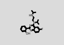 CC(C)NCCN(c1nc(-c2ccccc2O)nc2ccc(F)cc12)C(C)C